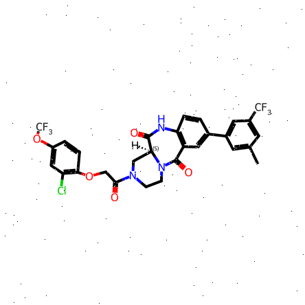 Cc1cc(-c2ccc3c(c2)C(=O)N2CCN(C(=O)COc4ccc(OC(F)(F)F)cc4Cl)C[C@H]2C(=O)N3)cc(C(F)(F)F)c1